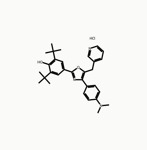 CN(C)c1ccc(-c2nc(-c3cc(C(C)(C)C)c(O)c(C(C)(C)C)c3)oc2Cc2cccnc2)cc1.Cl